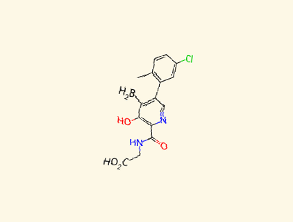 Bc1c(-c2cc(Cl)ccc2C)cnc(C(=O)NCC(=O)O)c1O